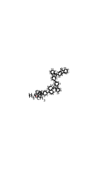 CC1(C)OB(c2ccc(-c3cccc4c(-n5c6ccccc6c6ccc(-c7ccc8c9ccccc9n(-c9ccc%10c(c9)sc9ccccc9%10)c8c7)cc65)cccc34)cc2)OC1(C)C